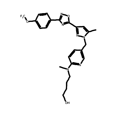 Cc1cc(-c2nc(-c3ccc(OC(F)(F)F)cc3)no2)nn1Cc1ccc(N(C)CCCCO)nc1